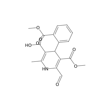 COC(=O)C1=C(C=O)NC(C)=C(C(=O)O)C1c1ccccc1C(=O)OC